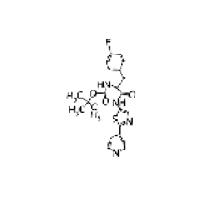 CC(C)(C)OC(=O)NC(Cc1ccc(F)cc1)C(=O)Nc1cnc(-c2ccncc2)s1